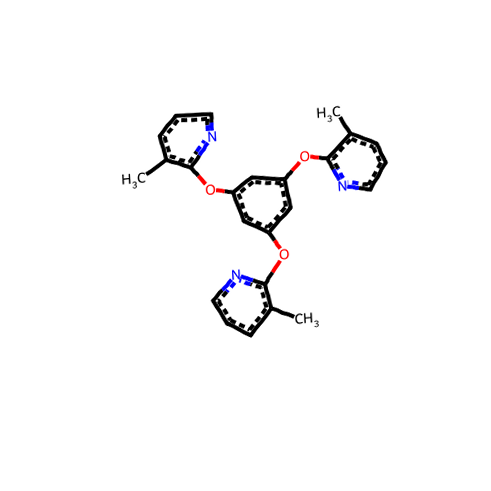 Cc1cccnc1Oc1cc(Oc2ncccc2C)cc(Oc2ncccc2C)c1